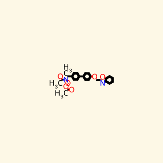 CC(=O)OON(C(C)=O)C(C)c1ccc(-c2ccc(OCc3nc4ccccc4o3)cc2)cc1